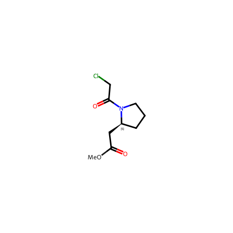 COC(=O)C[C@@H]1CCCN1C(=O)CCl